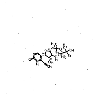 C#Cc1[nH]c(=O)ncc1[C@@H]1O[C@H](CC(C)(CC)OP(=O)(O)C(C)(O)CC)C(O)[C@@H]1O